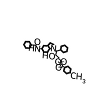 Cc1ccc(S(=O)(=O)OCC(O)C(c2ccccc2)n2ccc3cc(NC(=O)c4ccccc4)ccc32)cc1